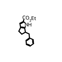 CCOC(=O)c1cc2c([nH]1)C(Cc1ccccc1)CC2